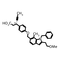 CC#C[C@@H](CC(=O)O)c1ccc(OCc2ccc3cc(CCOC)n(Cc4ccccc4)c3c2C)cc1